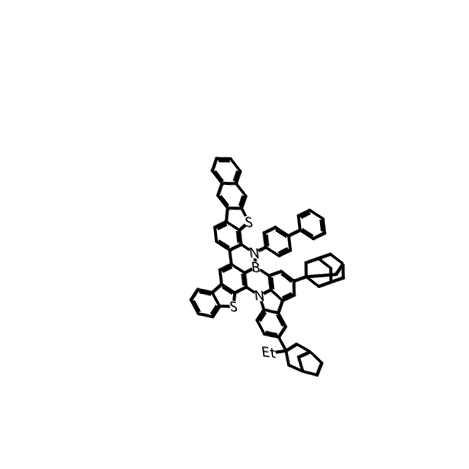 CCC1(c2ccc3c(c2)c2cc(C45CC6CC(CC(C6)C4)C5)cc4c2n3-c2c3c(cc5c2sc2ccccc25)-c2ccc5c(sc6cc7ccccc7cc65)c2N(c2ccc(-c5ccccc5)cc2)B34)CC2CCC(C2)C1